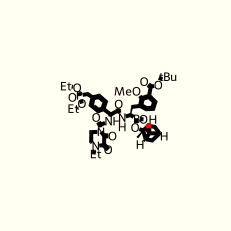 CCOP(=O)(Cc1ccc(C(NC(=O)N2CCN(CC)C(=O)C2=O)C(=O)N[C@@H](Cc2cccc(C(=O)OC(C)(C)C)c2OC)B2O[C@@H]3C[C@@H]4C[C@@H](C4(C)C)[C@]3(C)O2)cc1)OCC